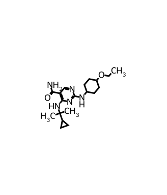 CCOC1CCC(Nc2ncc(C(N)=O)c(NC(C)(C)C3CC3)n2)CC1